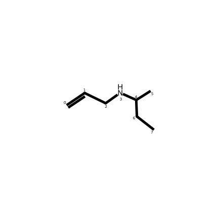 C=CCNC(C)CC